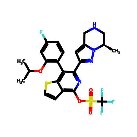 CC(C)Oc1cc(F)ccc1-c1c(-c2cc3n(n2)[C@H](C)CNC3)nc(OS(=O)(=O)C(F)(F)F)c2ccsc12